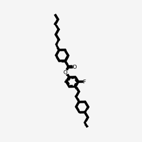 CCCCCCCC1CCC(C(=O)Oc2ccc(CCC3CCC(CCC)CC3)c(F)c2)CC1